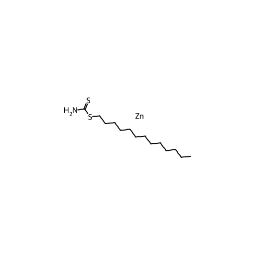 CCCCCCCCCCCCCSC(N)=S.[Zn]